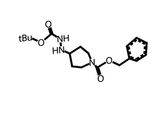 CC(C)(C)OC(=O)NNC1CCN(C(=O)OCc2ccccc2)CC1